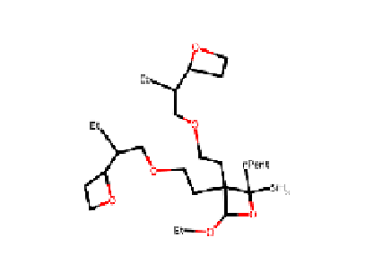 CCCCCC1([SiH3])OC(OCC)C1(CCOCC(CC)C1CCO1)CCOCC(CC)C1CCO1